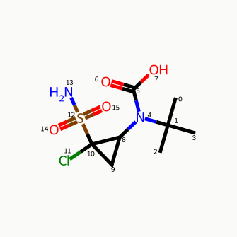 CC(C)(C)N(C(=O)O)C1CC1(Cl)S(N)(=O)=O